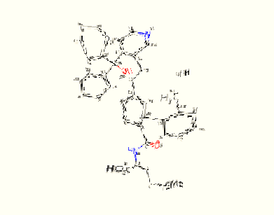 CSCCC(NC(=O)c1ccc(CCc2cnccc2C(O)(c2ccccc2)c2ccccc2)cc1-c1ccccc1C)C(=O)O.[LiH]